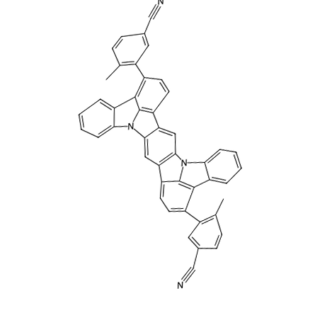 Cc1ccc(C#N)cc1-c1ccc2c3cc4c(cc3n3c5ccccc5c1c23)c1ccc(-c2cc(C#N)ccc2C)c2c3ccccc3n4c12